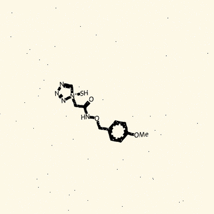 COc1ccc(CONC(=O)C[N+]2(S)C=NN=N2)cc1